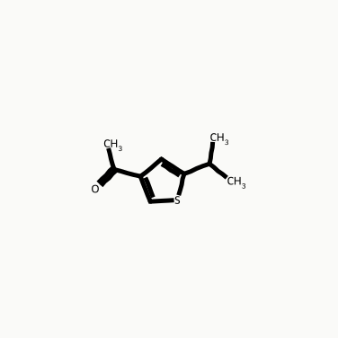 CC(=O)c1csc(C(C)C)c1